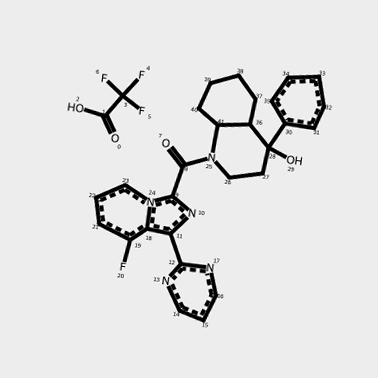 O=C(O)C(F)(F)F.O=C(c1nc(-c2ncccn2)c2c(F)cccn12)N1CCC(O)(c2ccccc2)C2CCCCC21